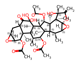 C=C1O[C@]23O[C@H]2[C@@H](C)[C@H]2[C@@H]([C@H](OC(C)=O)[C@H]4[C@H]5C([C@H](C)[C@H](OC(C)=O)[C@]24C)[C@]2(C)[C@H](C[C@@H]4O[C@@H]4[C@@H]2OC(C)=O)C(=O)C5(O)O)[C@@]3(C)[C@]1(C)O